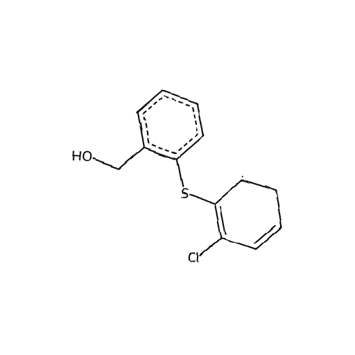 OCc1ccccc1SC1=C(Cl)C=CC[CH]1